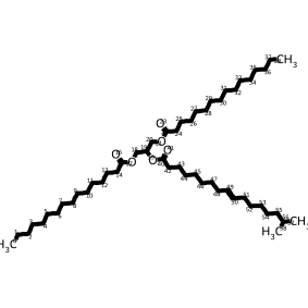 CCCCCCCCCCCCCCCC(=O)OCC(COC(=O)CCCCCCCCCCCCCCC)OC(=O)CCCCCCCC=CCCCCCC(C)C